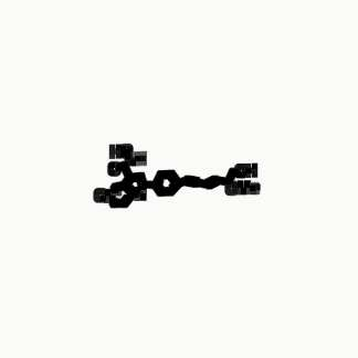 COC(C#CC#Cc1ccc(-c2cc(C(=O)NO)c3c[n+]([O-])ccc3n2)cc1)CO